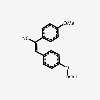 CCCCCCCCOc1ccc(C=C(C#N)c2ccc(OC)cc2)cc1